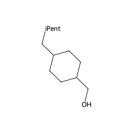 CCCC(C)CC1CCC(CO)CC1